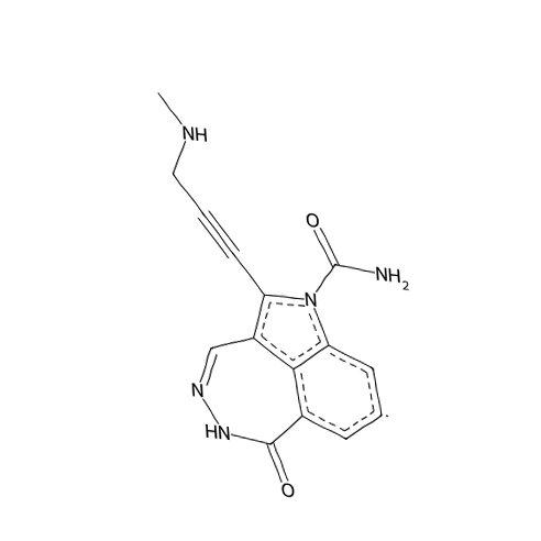 CNCC#Cc1c2c3c(c[c]cc3n1C(N)=O)C(=O)NN=C2